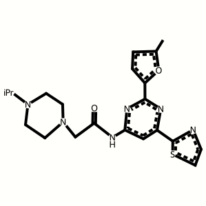 Cc1ccc(-c2nc(NC(=O)CN3CCN(C(C)C)CC3)cc(-c3nccs3)n2)o1